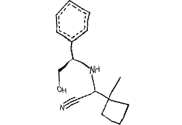 CC1(C(C#N)N[C@@H](CO)c2ccccc2)CCC1